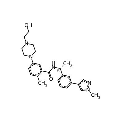 Cc1ccc(N2CCN(CCO)CC2)cc1C(=O)N[C@H](C)c1cccc(-c2cnn(C)c2)c1